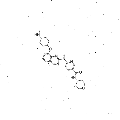 CNC1CCC(Oc2cccc3cnc(Nc4ccc(C(=O)NC5CCOCC5)cn4)nc23)CC1